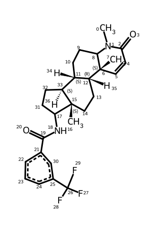 CN1C(=O)C=C[C@@]2(C)C1CC[C@@H]1[C@H]2CC[C@]2(C)C(NC(=O)c3cccc(C(F)(F)F)c3)CC[C@@H]12